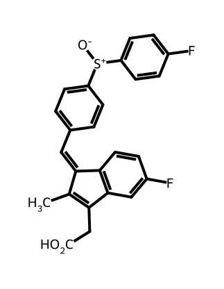 CC1=C(CC(=O)O)c2cc(F)ccc2/C1=C\c1ccc([S+]([O-])c2ccc(F)cc2)cc1